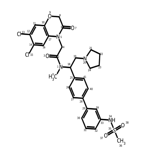 CN(C(=O)CN1C(=O)COc2cc(Cl)c(Cl)cc21)C(CN1CCCC1)c1ccc(-c2cccc(NS(C)(=O)=O)c2)cc1